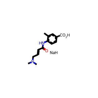 Cc1cc(C(=O)O)ccc1NC(=O)/C=C/CN(C)C.[NaH]